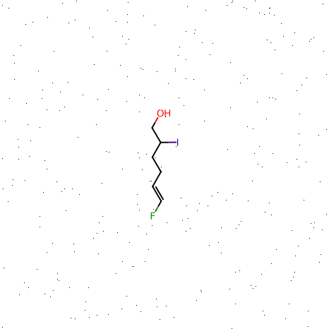 OCC(I)CCC=CF